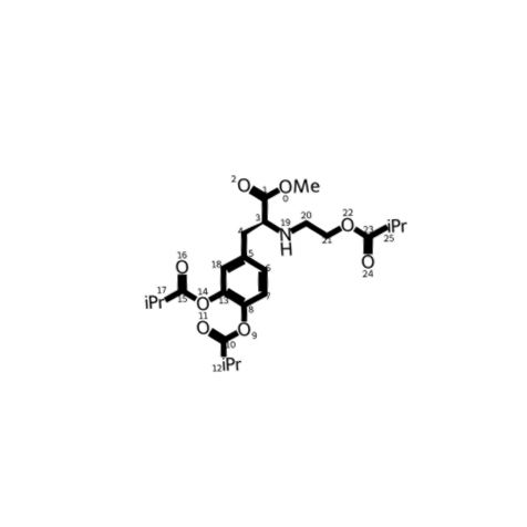 COC(=O)[C@H](Cc1ccc(OC(=O)C(C)C)c(OC(=O)C(C)C)c1)NCCOC(=O)C(C)C